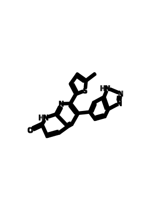 Cc1ccc(-c2nc3[nH]c(=O)ccc3cc2-c2ccc3nn[nH]c3c2)s1